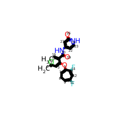 C=C(Cl)/C=C(OC1=CCC=C(F)C=C1F)\C(=C/C)C(=O)Nc1cc[nH]c(=O)c1